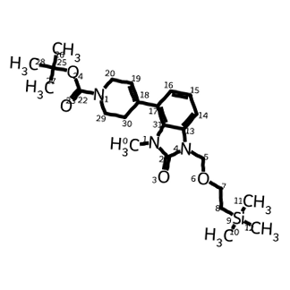 Cn1c(=O)n(COCC[Si](C)(C)C)c2cccc(C3=CCN(C(=O)OC(C)(C)C)CC3)c21